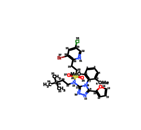 COc1cccc(OC)c1-n1c(-c2ccco2)nnc1N(CC[Si](C)(C)C)S(=O)(=O)CCc1ncc(Cl)cc1Br